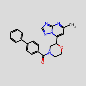 Cc1cc(C2CN(C(=O)c3ccc(-c4ccccc4)cc3)CCO2)n2ncnc2n1